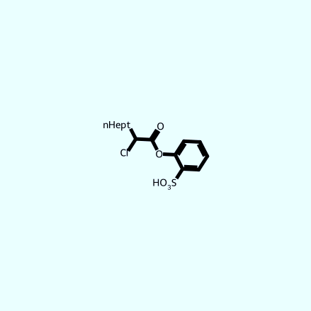 CCCCCCCC(Cl)C(=O)Oc1ccccc1S(=O)(=O)O